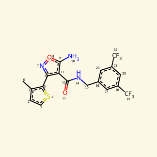 Cc1ccsc1-c1noc(N)c1C(=O)NCc1cc(C(F)(F)F)cc(C(F)(F)F)c1